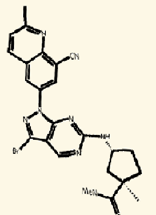 CNC(=O)[C@]1(C)CC[C@@H](Nc2ncc3c(Br)nn(-c4cc(C#N)c5nc(C)ccc5c4)c3n2)C1